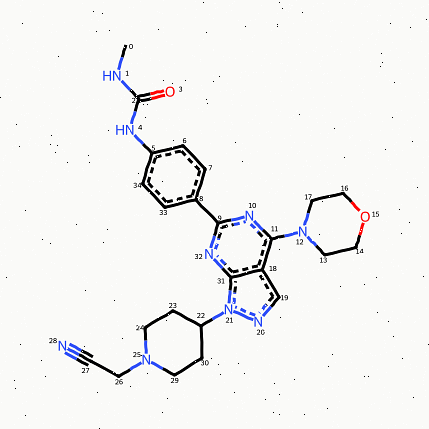 CNC(=O)Nc1ccc(-c2nc(N3CCOCC3)c3cnn(C4CCN(CC#N)CC4)c3n2)cc1